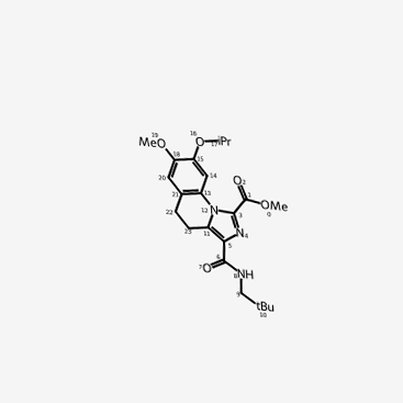 COC(=O)c1nc(C(=O)NCC(C)(C)C)c2n1-c1cc(OC(C)C)c(OC)cc1CC2